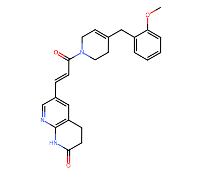 COc1ccccc1CC1=CCN(C(=O)C=Cc2cnc3c(c2)CCC(=O)N3)CC1